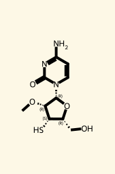 CO[C@H]1[C@@H](S)[C@@H](CO)O[C@H]1n1ccc(N)nc1=O